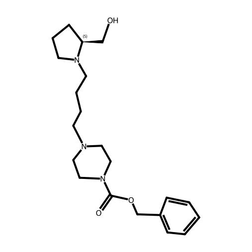 O=C(OCc1ccccc1)N1CCN(CCCCN2CCC[C@H]2CO)CC1